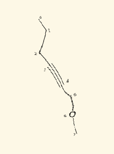 CCCC#C[CH]OC